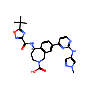 Cn1cc(Nc2nccc(-c3ccc4c(c3)CN(C(=O)O)CC[C@H]4NC(=O)c3noc(C(C)(C)C)n3)n2)cn1